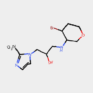 O=[N+]([O-])c1nccn1CC(O)CNC1COCCC1Br